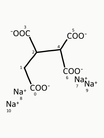 O=C([O-])CC(C(=O)[O-])C(C(=O)[O-])C(=O)[O-].[Na+].[Na+].[Na+].[Na+]